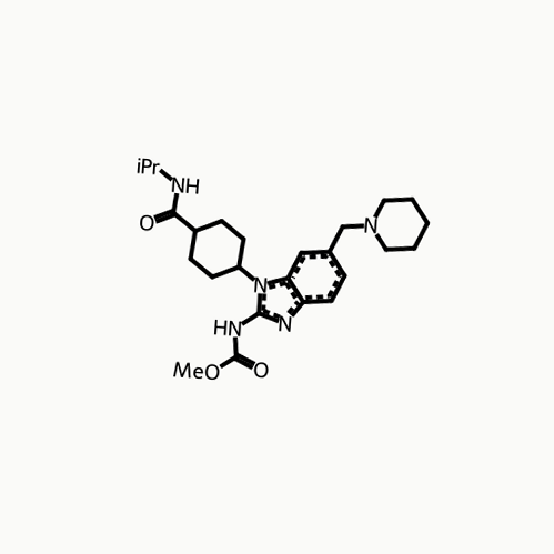 COC(=O)Nc1nc2ccc(CN3CCCCC3)cc2n1C1CCC(C(=O)NC(C)C)CC1